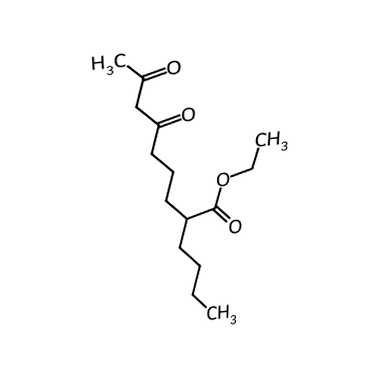 CCCCC(CCCC(=O)CC(C)=O)C(=O)OCC